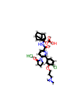 CN(C)CCCOc1cc(-c2nc(C(=O)NC3(OC(=O)O)C4CC5CC(C4)CC3C5)ccc2N2CCCC2=O)ccc1Cl.Cl